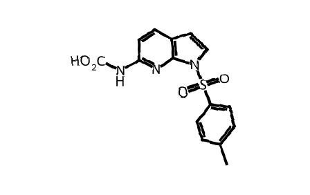 Cc1ccc(S(=O)(=O)n2ccc3ccc(NC(=O)O)nc32)cc1